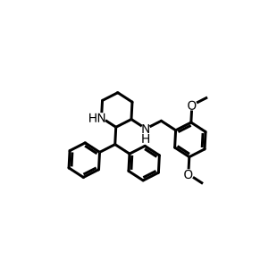 COc1ccc(OC)c(CNC2CCCNC2C(c2ccccc2)c2ccccc2)c1